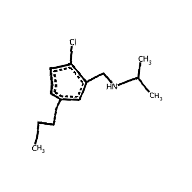 CCCc1ccc(Cl)c(CNC(C)C)c1